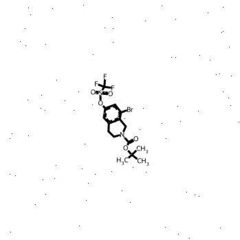 CC(C)(C)OC(=O)N1CCc2cc(OS(=O)(=O)C(F)(F)F)cc(Br)c2C1